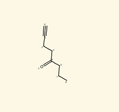 C#CCCC(=O)CCC